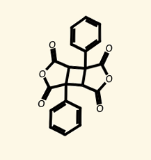 O=C1OC(=O)C2(c3ccccc3)C1C1(c3ccccc3)C(=O)OC(=O)C21